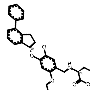 CCOc1cc(O[C@H]2CCc3c(-c4ccccc4)cccc32)c(Cl)cc1CN[C@@H](CO)C(=O)O